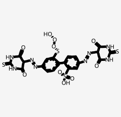 O=C1NC(=S)NC(=O)C1N=Nc1ccc(-c2ccc(N=NC3C(=O)NC(=S)NC3=O)cc2S(=O)(=O)O)c(SOOO)c1